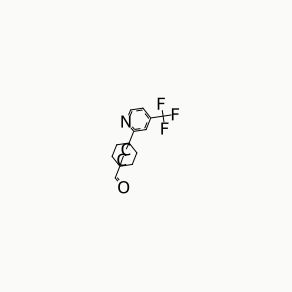 O=CC12CCC(c3cc(C(F)(F)F)ccn3)(CC1)CC2